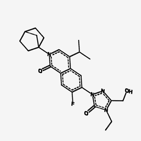 CCn1c(CO)nn(-c2cc3c(C(C)C)cn(C45CCC(CC4)C5)c(=O)c3cc2F)c1=O